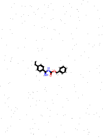 CCc1ccc(C(=N)NC(=O)OCc2ccccc2)cc1